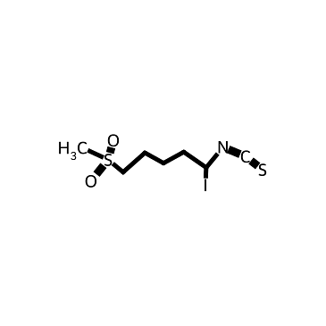 CS(=O)(=O)CCCCC(I)N=C=S